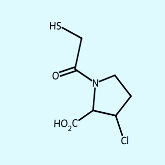 O=C(O)C1C(Cl)CCN1C(=O)CS